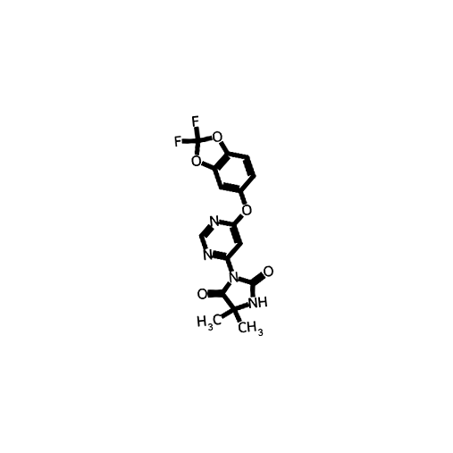 CC1(C)NC(=O)N(c2cc(Oc3ccc4c(c3)OC(F)(F)O4)ncn2)C1=O